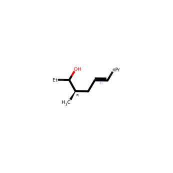 CCC/C=C/C[C@@H](C)C(O)CC